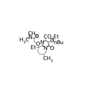 CCCCOc1c(C(=O)OCC)nc2n(c1=O)CC(C)CCC2(CC)OCC(=O)N(C)C